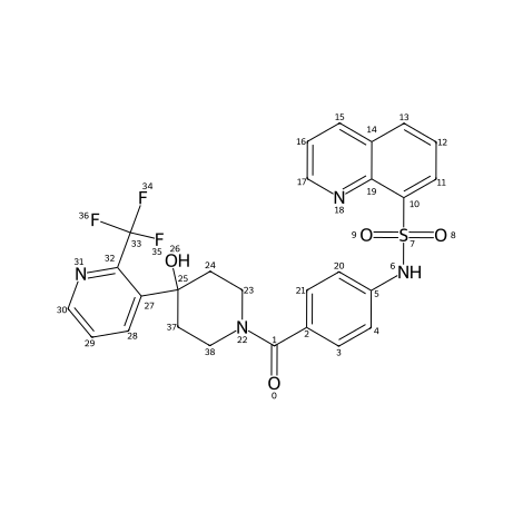 O=C(c1ccc(NS(=O)(=O)c2cccc3cccnc23)cc1)N1CCC(O)(c2cccnc2C(F)(F)F)CC1